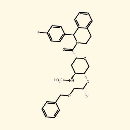 C[C@H](COCc1ccccc1)O[C@H]1CO[C@@H](C(=O)N2CCc3ccccc3[C@@H]2c2ccc(F)cc2)C[C@@H]1NC(=O)O